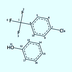 FC(F)(F)c1ccc(Cl)cc1.Oc1ccccc1